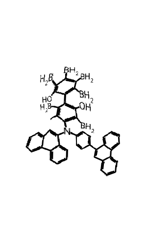 Bc1c(B)c(B)c(-c2c(B)c(C)c(N(c3ccc(-c4cc5ccccc5c5ccccc45)cc3)c3cc4ccccc4c4ccccc34)c(B)c2O)c(O)c1B